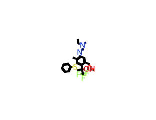 CCN(C)/C=N/c1cc(COC)c(C(O)(CSc2ccccc2)C(F)(F)F)cc1C